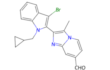 Cc1c(-c2c(Br)c3ccccc3n2CC2CC2)nc2cc(C=O)ccn12